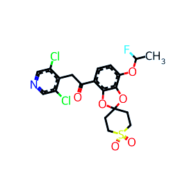 CC(F)Oc1ccc(C(=O)Cc2c(Cl)cncc2Cl)c2c1OC1(CCS(=O)(=O)CC1)O2